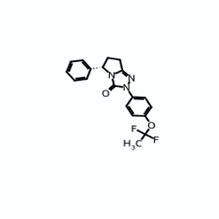 CC(F)(F)Oc1ccc(-n2nc3n(c2=O)[C@H](c2ccccc2)CC3)cc1